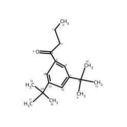 CCCC(=O)c1cc(C(C)(C)C)cc(C(C)(C)C)c1